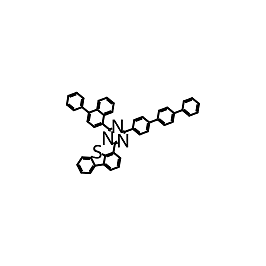 c1ccc(-c2ccc(-c3ccc(-c4nc(-c5ccc(-c6ccccc6)c6ccccc56)nc(-c5cccc6c5sc5ccccc56)n4)cc3)cc2)cc1